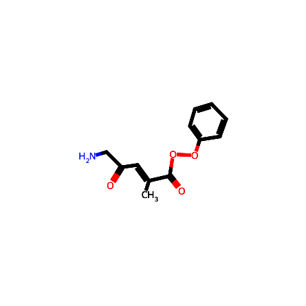 CC(=CC(=O)CN)C(=O)OOc1ccccc1